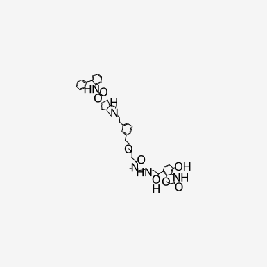 CN(CCNC[C@H](O)c1ccc(O)c2c1OCC(=O)N2)C(=O)CCOCCc1cccc(CCN2CC3CC(OC(=O)Nc4ccccc4-c4ccccc4)C[C@H]3C2)c1